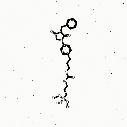 CCO[Si](O)(CCCNC(=O)OCCCc1ccc(N2CC(=O)C(Cc3ccccc3)C2=O)cc1)OCC